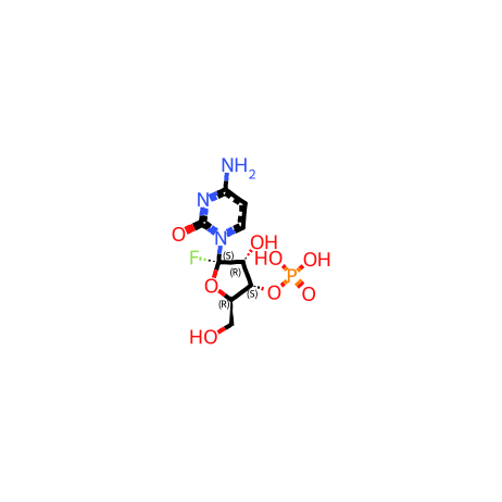 Nc1ccn([C@]2(F)O[C@H](CO)[C@@H](OP(=O)(O)O)[C@H]2O)c(=O)n1